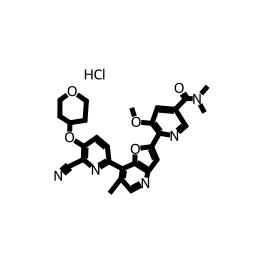 COc1cc(C(=O)N(C)C)cnc1-c1cc2ncc(C)c(-c3ccc(OC4CCOCC4)c(C#N)n3)c2o1.Cl